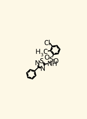 Cc1c(Cl)cccc1S(=O)(=O)Nc1nc(-c2ccccc2)ns1